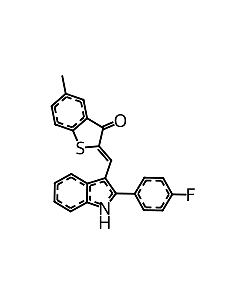 Cc1ccc2c(c1)C(=O)C(=Cc1c(-c3ccc(F)cc3)[nH]c3ccccc13)S2